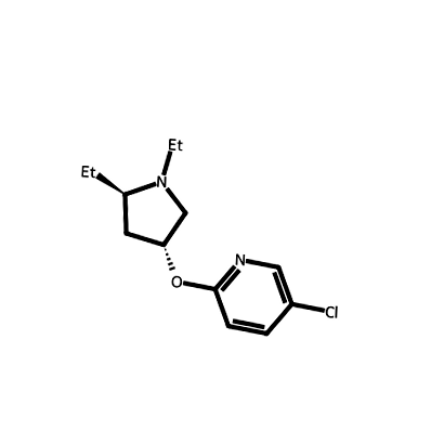 CC[C@@H]1C[C@@H](Oc2ccc(Cl)cn2)CN1CC